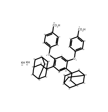 O=C(O)c1ccc(Oc2cc(Oc3ccc(C(=O)O)cc3)c(C34CC5CC(CC(C5)C3)C4)cc2C23CC4CC(CC(C4)C2)C3)cc1.[KH].[KH]